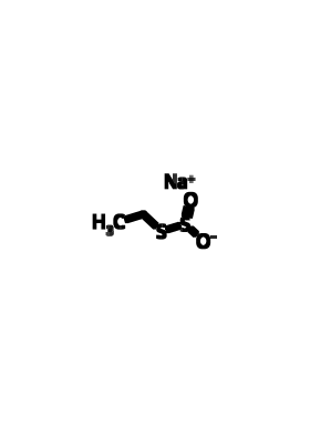 CCSS(=O)[O-].[Na+]